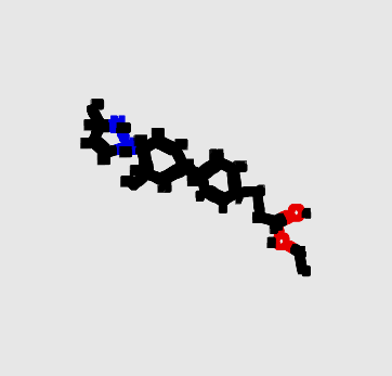 CCOC(=O)CCc1ccc(-c2ccc(-n3ccc(C)n3)c(C)c2)cc1